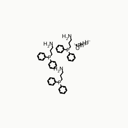 NCCCP(c1ccccc1)c1ccccc1.NCCCP(c1ccccc1)c1ccccc1.NCCCP(c1ccccc1)c1ccccc1.[C]=O.[H-].[H-].[H-].[Rh+3]